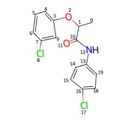 CC(Oc1cccc(Cl)c1)C(=O)Nc1ccc(Cl)cc1